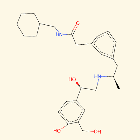 C[C@H](Cc1cccc(CC(=O)NCC2CCCCC2)c1)NC[C@H](O)c1ccc(O)c(CO)c1